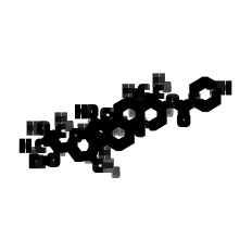 CCO[C@@H](C1C[C@@H](C)[C@H]2C(O1)[C@H](O)[C@@]1(C)C3CC[C@H]4C(C)(C)[C@@H](OC(=O)N5CCNCC5)CC[C@@]45C[C@@]35CC[C@]21C)C(C)(C)O